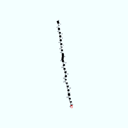 C=C=C=C=C=C=C=C=C=C=C=C=C=C=C=C=C=C=C=C=C=C=C=C=O